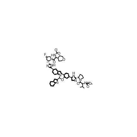 COC(=O)N[C@H](C(=O)N1CCC[C@H]1c1ncc(-c2ccc3c(c2)OC(c2cc4ccccc4s2)n2c-3cc3cc(-c4cnc([C@@H]5C[C@@H](F)CN5C(=O)[C@@H](NC(=O)OC)C5CCOCC5)[nH]4)ccc32)[nH]1)C(C)C